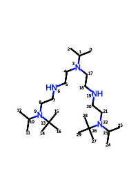 CC(C)N(CCNCCN(C(C)C)C(C)(C)C)CCNCCN(C(C)C)C(C)(C)C